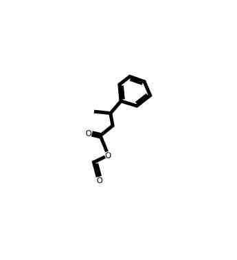 CC(CC(=O)OC=O)c1ccccc1